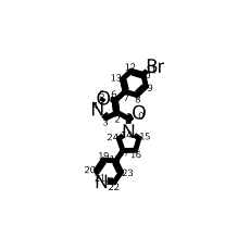 O=C(c1cnoc1-c1ccc(Br)cc1)N1CCC(c2ccncc2)C1